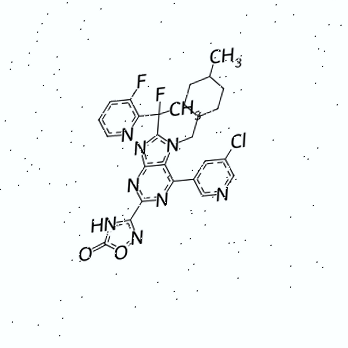 CC1CCC(Cn2c(C(C)(F)c3ncccc3F)nc3nc(-c4noc(=O)[nH]4)nc(-c4cncc(Cl)c4)c32)CC1